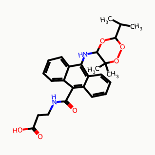 CC(C)C1OOC(C)(C)C(Nc2c3ccccc3c(C(=O)NCCC(=O)O)c3ccccc23)O1